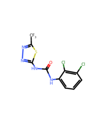 O=C(Nc1nnc(C(F)(F)F)s1)Nc1cccc(Cl)c1Cl